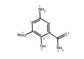 COc1cc(N)cc(C(N)=O)c1O